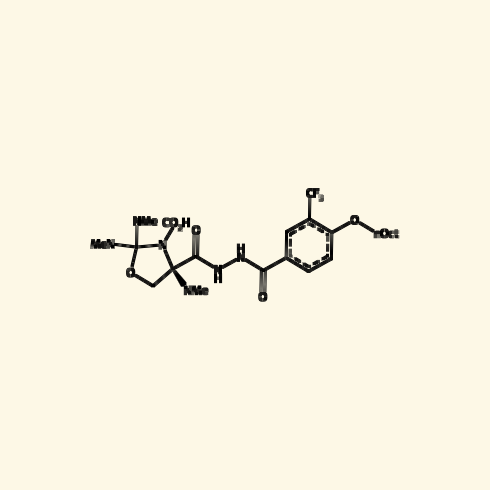 CCCCCCCCOc1ccc(C(=O)NNC(=O)[C@]2(NC)COC(NC)(NC)N2C(=O)O)cc1C(F)(F)F